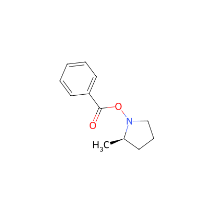 C[C@@H]1CCCN1OC(=O)c1ccccc1